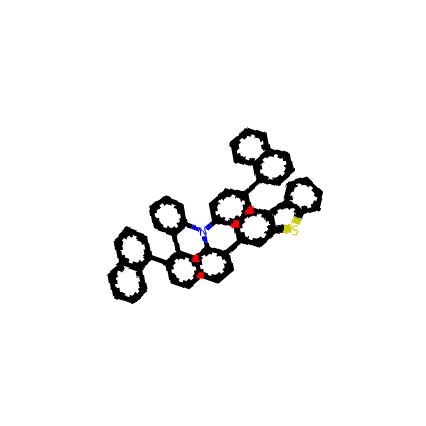 c1ccc(-c2cccc3ccccc23)c(-c2ccccc2N(c2ccc(-c3cccc4ccccc34)cc2)c2ccccc2-c2ccc3c(c2)sc2ccccc23)c1